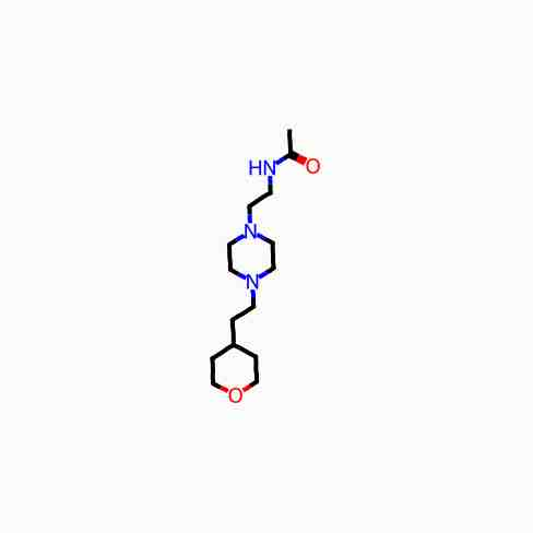 CC(=O)NCCN1CCN(CCC2CCOCC2)CC1